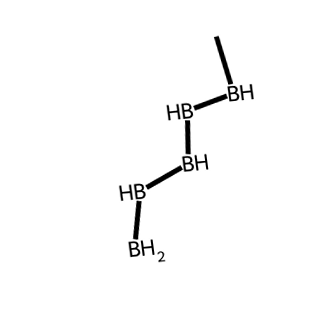 BBBBBC